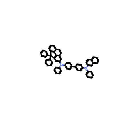 c1ccc(N(c2ccc(-c3ccc(N(c4ccccc4)c4cc5c6c(ccc7cccc(c76)C5(c5ccccc5)c5ccccc5)c4)cc3)cc2)c2ccc3ccccc3c2)cc1